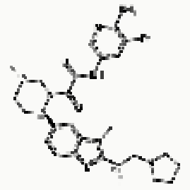 CCc1cc(NC(=O)C(=O)N2C[C@@H](C)CC[C@@H]2c2ccc3sc([C@@H](C)CN4CCCC4)c(C)c3c2)cnc1N